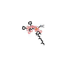 [C-]#[N+]CCOP(=O)(OC[C@H](O)[C@H]1OC(=O)C(OC(=O)c2ccccc2)=C1OC(=O)c1ccccc1)OC1CC(C)(C)C(/C=C/C(C)=C/C=C/C(C)=C/C)=C(C)C1=O